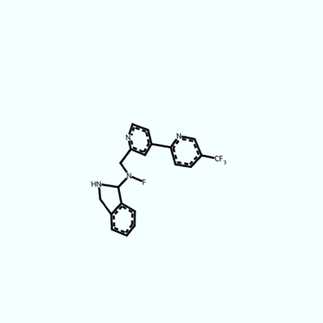 FN(Cc1cc(-c2ccc(C(F)(F)F)cn2)ccn1)C1NCc2ccccc21